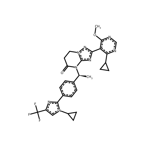 COc1ncnc(C2CC2)c1-c1nc2n(n1)CCC(=O)N2[C@@H](C)c1ccc(-c2nc(C(F)(F)F)cn2C2CC2)cc1